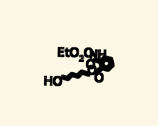 CCOC(=O)NC(=O)c1ccccc1C(=O)OCCCCCCO